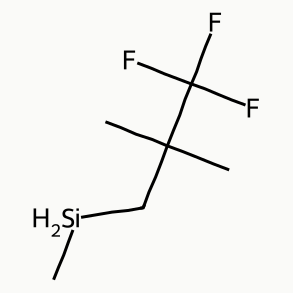 C[SiH2]CC(C)(C)C(F)(F)F